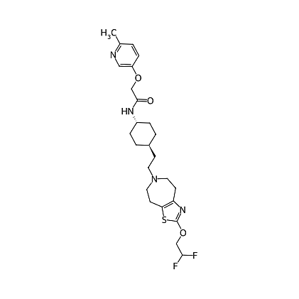 Cc1ccc(OCC(=O)N[C@H]2CC[C@H](CCN3CCc4nc(OCC(F)F)sc4CC3)CC2)cn1